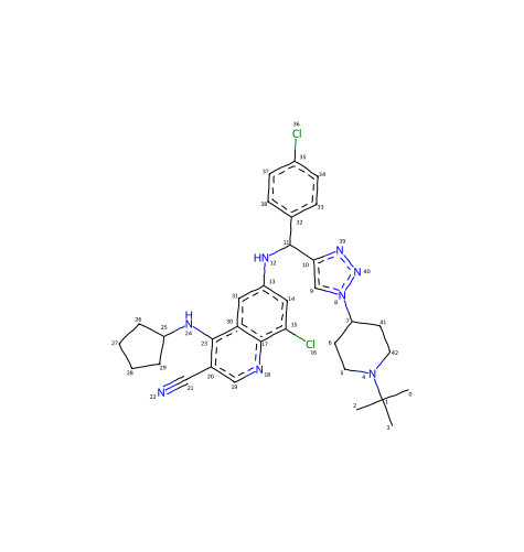 CC(C)(C)N1CCC(n2cc(C(Nc3cc(Cl)c4ncc(C#N)c(NC5CCCC5)c4c3)c3ccc(Cl)cc3)nn2)CC1